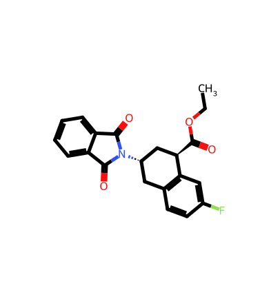 CCOC(=O)[C@@H]1C[C@@H](N2C(=O)c3ccccc3C2=O)Cc2ccc(F)cc21